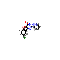 O=c1[nH]c(-c2ccccn2)nc2c1oc1ccc(Br)cc12